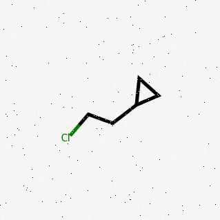 ClC[CH]C1CC1